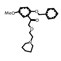 COc1ccc(OCc2ccccc2)c(C(=O)COCCN2CCCCC2)c1